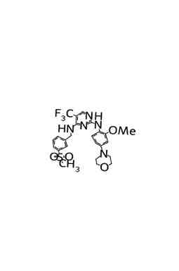 COc1cc(N2CCOCC2)ccc1Nc1ncc(C(F)(F)F)c(NCc2cccc(S(C)(=O)=O)c2)n1